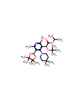 Cc1nc(C)c([C@H](OC(C)(C)C)C(=O)OC(C)C)c(N2CCC(C)(C)CC2)c1B1OC(C)(C)C(C)(C)O1